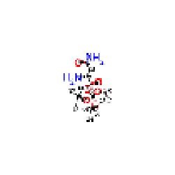 CC(C)(C)O[Si](OC(=O)[C@@H](N)CC(N)=O)(OC(C)(C)C)OC(C)(C)C